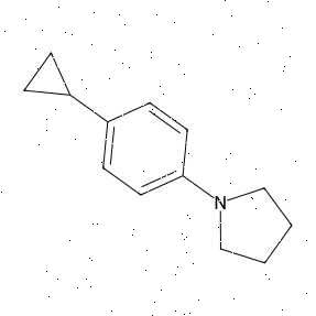 c1cc(N2CCCC2)ccc1C1CC1